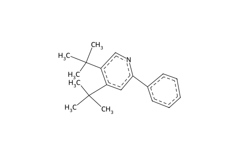 CC(C)(C)c1cnc(-c2ccccc2)cc1C(C)(C)C